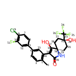 Cc1ccc(-c2ccc(Cl)c(F)c2)cc1C1=C(O)[C@]2(CC[C@@](O)(C(F)(F)F)CC2)NC1=O